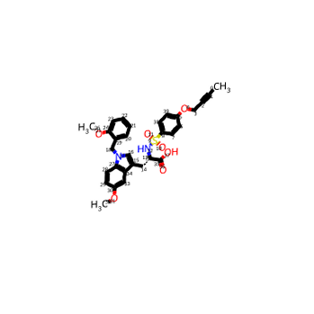 CC#CCOc1ccc(S(=O)(=O)N[C@@H](Cc2cn(Cc3ccccc3OC)c3ccc(OC)cc23)C(=O)O)cc1